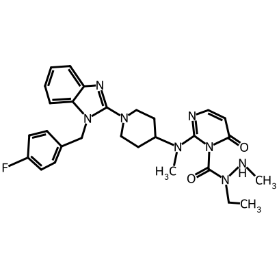 CCN(NC)C(=O)n1c(N(C)C2CCN(c3nc4ccccc4n3Cc3ccc(F)cc3)CC2)nccc1=O